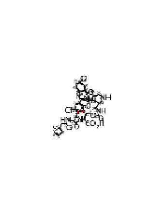 O=C(Cc1cccs1)NC1C(=O)N2C(C(=O)O)=C(COC(=O)NCC3CNCCN3C(=O)Oc3ccc(Cl)cc3-c3nc4ccc(Cl)cc4c(=O)[nH]3)CSC12